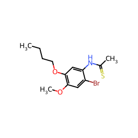 CCCCOc1cc(NC(C)=S)c(Br)cc1OC